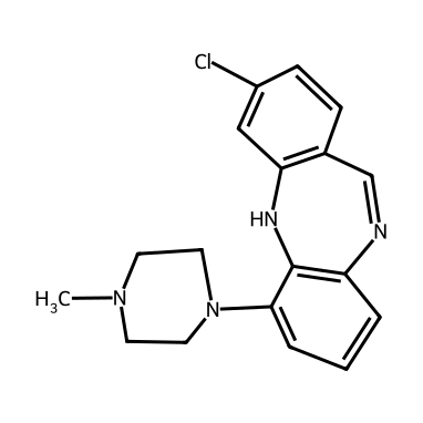 CN1CCN(c2cccc3c2Nc2cc(Cl)ccc2C=N3)CC1